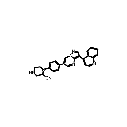 N#CC1CNCCN1c1ccc(-c2cnc3c(-c4ccnc5ccccc45)cnn3c2)cc1